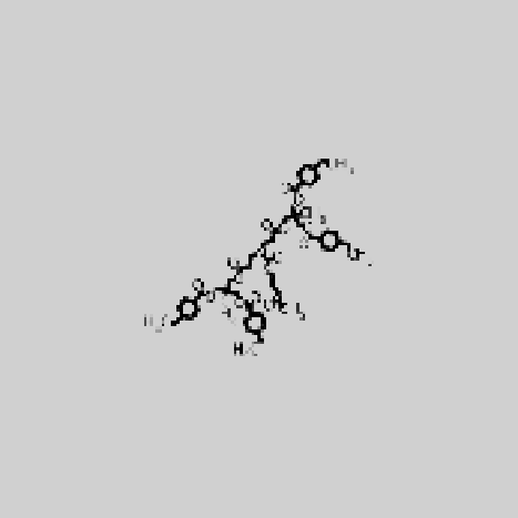 CCC1CCC(C(=O)OCC(C)(COC(=O)CCN(CCC(=O)OCC(C)(COC(=O)C2CCC(CC)CC2)COC(=O)C2CCC(CC)CC2)C(=O)SCCCN(C)C)COC(=O)C2CCC(CC)CC2)CC1